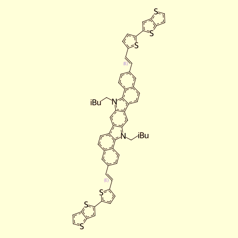 CCC(C)Cn1c2cc3c4ccc5cc(/C=C/c6ccc(-c7cc8sccc8s7)s6)ccc5c4n(CC(C)CC)c3cc2c2ccc3cc(/C=C/c4ccc(-c5cc6sccc6s5)s4)ccc3c21